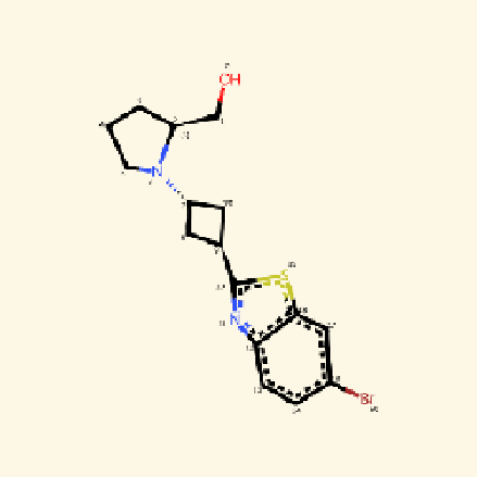 OC[C@@H]1CCCN1[C@H]1C[C@H](c2nc3ccc(Br)cc3s2)C1